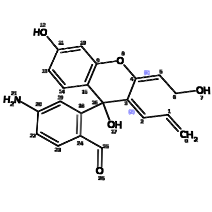 C=C/C=C1\C(=C/CO)Oc2cc(O)ccc2C1(O)c1cc(N)ccc1C=O